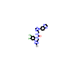 CCc1nc(CNC(=O)NCc2ncnn2-c2ccc3nccnc3c2)n(-c2ccc(Cl)c(F)c2)n1